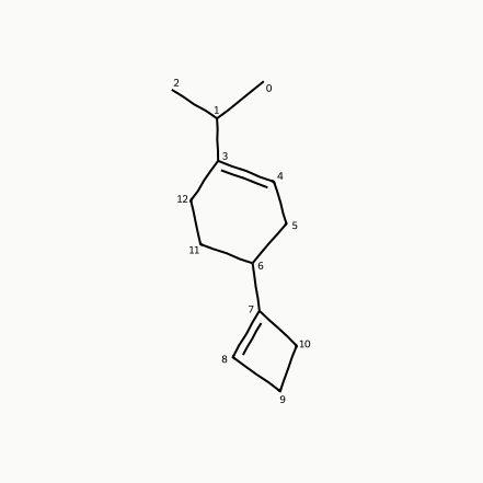 CC(C)C1=CCC(C2=CCC2)CC1